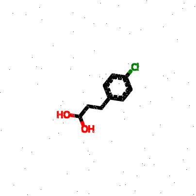 OC(O)CCc1ccc(Cl)cc1